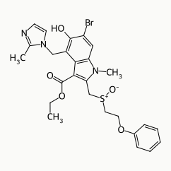 CCOC(=O)c1c(C[S+]([O-])CCOc2ccccc2)n(C)c2cc(Br)c(O)c(Cn3ccnc3C)c12